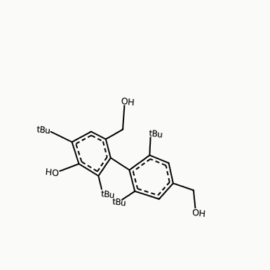 CC(C)(C)c1cc(CO)c(-c2c(C(C)(C)C)cc(CO)cc2C(C)(C)C)c(C(C)(C)C)c1O